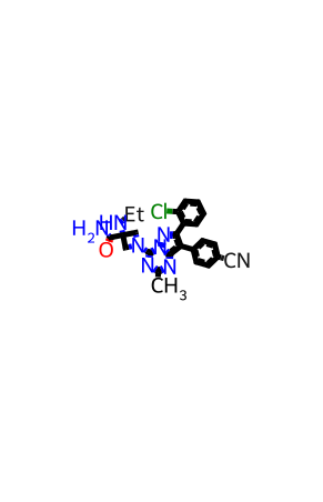 CCNC1(C(N)=O)CN(c2nc(C)nc3c(-c4ccc(C#N)cc4)c(-c4ccccc4Cl)nn23)C1